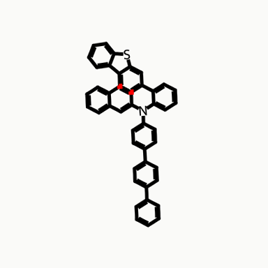 c1ccc(-c2ccc(-c3ccc(N(c4ccc5ccccc5c4)c4ccccc4-c4ccc5c(c4)sc4ccccc45)cc3)cc2)cc1